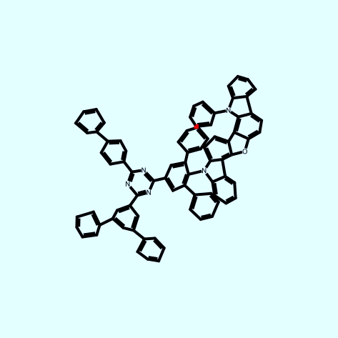 c1ccc(-c2ccc(-c3nc(-c4cc(-c5ccccc5)cc(-c5ccccc5)c4)nc(-c4cc(-c5ccccc5)c(-n5c6ccccc6c6c7oc8ccc9c%10ccccc%10n(-c%10ccccc%10)c9c8c7ccc65)c(-c5ccccc5)c4)n3)cc2)cc1